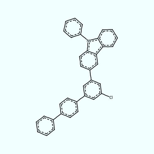 Clc1cc(-c2ccc(-c3ccccc3)cc2)cc(-c2ccc3c(c2)c2ccccc2n3-c2ccccc2)c1